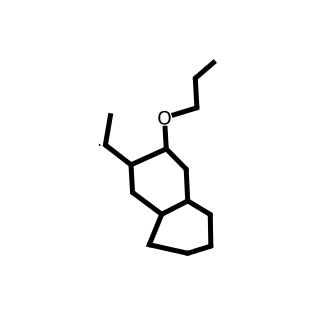 C[CH]C1CC2CCCCC2CC1OCCC